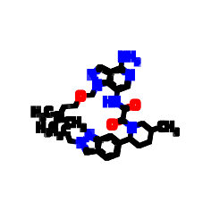 CCn1cc2ccc(C3CCC(C)CN3C(=O)C(=O)Nc3cnc(N)c4cnn(COCC[Si](C)(C)C)c34)cc2n1